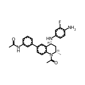 CC(=O)Nc1cccc(-c2ccc3c(c2)[C@H](Nc2ccc(N)c(F)c2)C[C@H](C)N3C(C)=O)c1